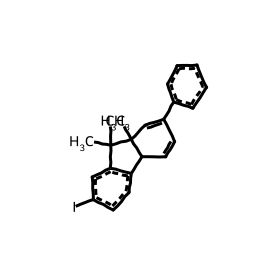 CC1(C)c2cc(I)ccc2C2C=CC(c3ccccc3)=CC21C